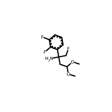 COC(CC(N)(CF)c1cccc(F)c1F)OC